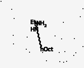 CCCCCCCCC=CCCCCCCCCNCCN(N)CC